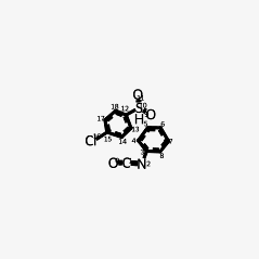 O=C=Nc1ccccc1.O=[SH](=O)c1ccc(Cl)cc1